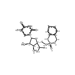 O=c1[nH]c(=O)n([C@@H]2O[C@@](COP3(=O)OCc4ccccc4O3)(C(F)F)[C@@H](O)[C@H]2O)cc1F